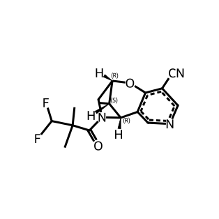 C[C@@H]1[C@@H]2CN(C(=O)C(C)(C)C(F)F)[C@H]1c1cncc(C#N)c1O2